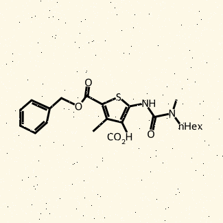 CCCCCCN(C)C(=O)Nc1sc(C(=O)OCc2ccccc2)c(C)c1C(=O)O